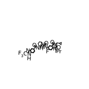 CC(C)n1c(=O)n(CC2CC2)c(=O)c2cc(NC(=O)N3CCC[C@@H](NC(=O)c4ccc5[nH]c(C(F)(F)F)nc5c4)C3)c(F)cc21